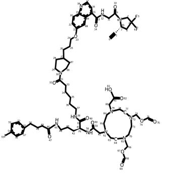 C#C[C@H]1CC(F)(F)CN1C(=O)CNC(=O)c1ccnc2ccc(OCCCC3CCN(C(=O)CCCCCNC(=O)[C@H](CCCNC(=O)CCCc4ccc(I)cc4)NC(=O)CN4CCN(COC=O)CCN(COC=O)CCN(CC(=O)O)CC4)CC3)cc12